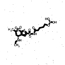 CCN[C@H]1CC(C)S(=O)(=O)c2sc(S(=O)(=O)NC(=O)CCCCON(O)O)cc21